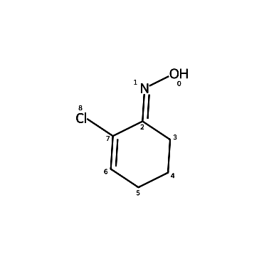 ON=C1CCCC=C1Cl